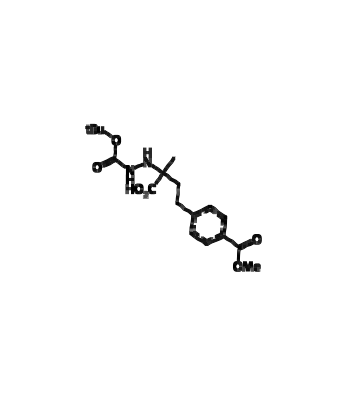 COC(=O)c1ccc(CCC(C)(NNC(=O)OC(C)(C)C)C(=O)O)cc1